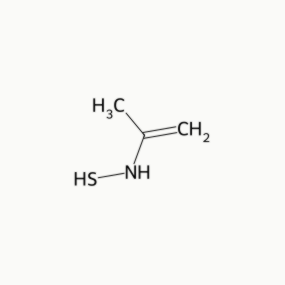 C=C(C)NS